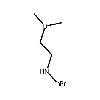 CCCNCCB(C)C